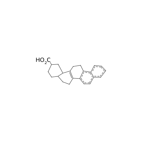 O=C(O)C1CCC2CCC3=C(CCc4c3ccc3ccccc43)C2C1